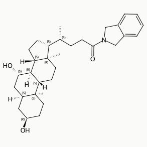 C[C@H](CCC(=O)N1Cc2ccccc2C1)[C@H]1CC[C@H]2[C@@H]3[C@@H](O)C[C@@H]4C[C@H](O)CC[C@]4(C)[C@H]3CC[C@]12C